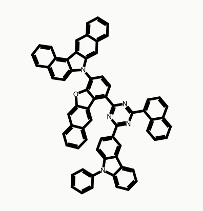 c1ccc(-n2c3ccccc3c3cc(-c4nc(-c5cccc6ccccc56)nc(-c5ccc(-n6c7cc8ccccc8cc7c7c8ccccc8ccc76)c6oc7cc8ccccc8cc7c56)n4)ccc32)cc1